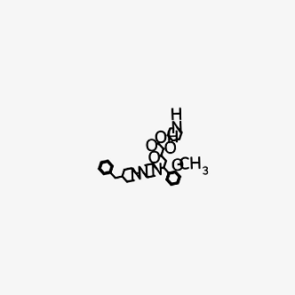 COc1ccccc1C(CC(=O)C(OC1CCNCC1)C(=O)O)N1CCN(N2CCC(Cc3ccccc3)CC2)CC1